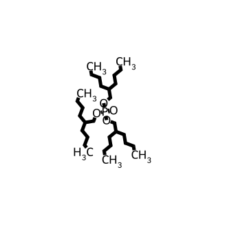 CCCCC(CCCC)COP(=O)(OCC(CCCC)CCCC)OCC(CCCC)CCCC